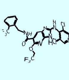 O=C(NCc1ccccc1C(F)(F)F)c1cc2nc(Nc3c(Cl)cncc3Cl)[nH]c2nc1OCC(F)(F)F